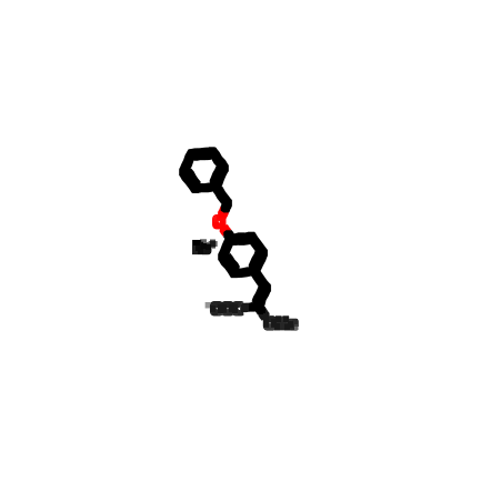 COC(=Cc1ccc(OCc2ccccc2)cc1)C(=O)[O-].[Rb+]